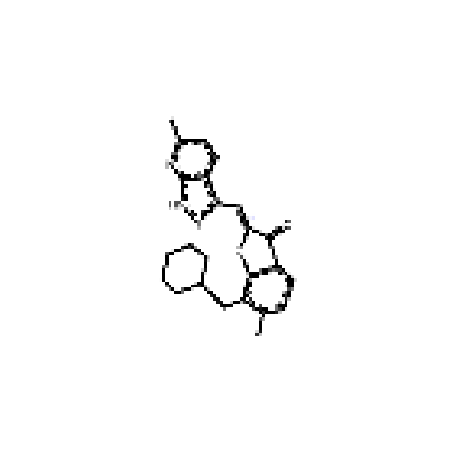 Cc1ccc2c(/C=C3\Oc4c(ccc(C)c4CC4CCCCC4)C3=O)n[nH]c2n1